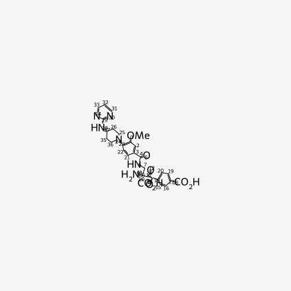 COc1cc(C(=O)NC[C@@](N)(C(=O)O)S(=O)(=O)c2ccc(C(=O)O)cc2)ccc1N1CCC(Nc2ncccn2)CC1